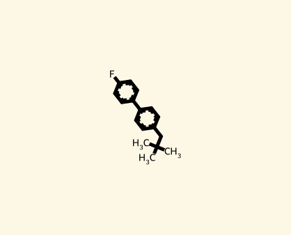 CC(C)(C)Cc1ccc(-c2ccc(F)cc2)cc1